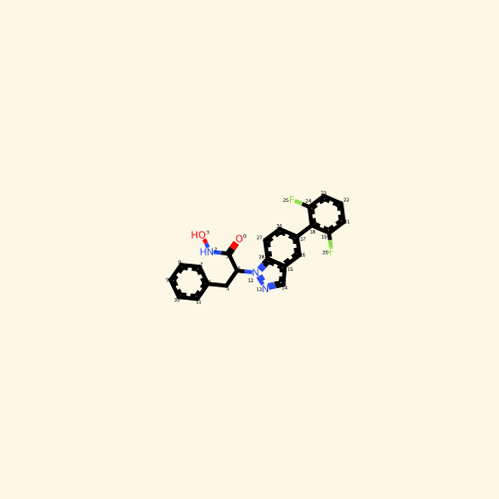 O=C(NO)C(Cc1ccccc1)n1ncc2cc(-c3c(F)cccc3F)ccc21